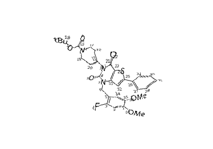 COc1cc(F)c(Cn2c(=O)n(C3CCN(C(=O)OC(C)(C)C)CC3)c(=O)c3sc(-c4ccccc4)cc32)cc1OC